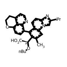 CCCCO[C@@H](C(=O)O)c1c(C)cc2c(ccc3nc(C(C)C)cn32)c1-c1ccc2c3c(ccnc13)CCO2